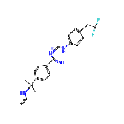 C=CNC(C)(C)c1ccc(C(=N)/N=C\Nc2ccc(CC(C)(F)F)cc2)cc1